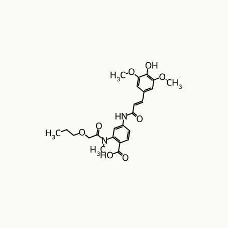 CCCOCC(=O)N(C)c1cc(NC(=O)C=Cc2cc(OC)c(O)c(OC)c2)ccc1C(=O)O